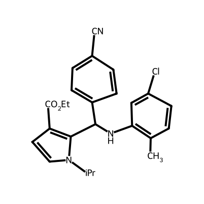 CCOC(=O)c1ccn(C(C)C)c1C(Nc1cc(Cl)ccc1C)c1ccc(C#N)cc1